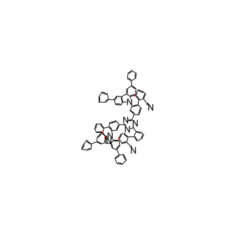 N#Cc1ccccc1-c1ccccc1-c1nc(-c2ccc(-c3ccccc3C#N)c(-n3c4ccc(-c5ccccc5)cc4c4cc(-c5ccccc5)ccc43)c2)nc(-c2ccc(-c3ccccc3C#N)c(-n3c4ccc(-c5ccccc5)cc4c4cc(-c5ccccc5)ccc43)c2)n1